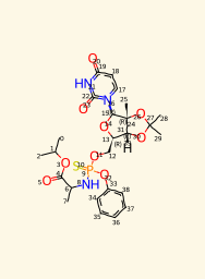 CC(C)OC(=O)C(C)NP(=S)(OC[C@H]1O[C@@H](n2ccc(=O)[nH]c2=O)[C@]2(C)OC(C)(C)O[C@H]12)Oc1ccccc1